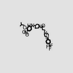 CC(C)COc1cc(NC2CCN(C(=O)CCN3CCN(c4ccc(C(F)(F)F)cc4)CC3)CC2)ccc1[N+](=O)[O-]